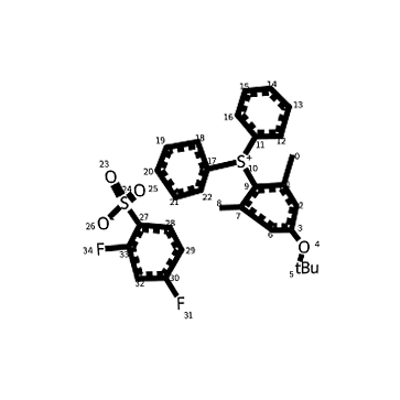 Cc1cc(OC(C)(C)C)cc(C)c1[S+](c1ccccc1)c1ccccc1.O=S(=O)([O-])c1ccc(F)cc1F